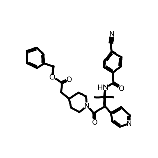 CC(C)(NC(=O)c1ccc(C#N)cc1)C(C(=O)N1CCC(CC(=O)OCc2ccccc2)CC1)c1ccncc1